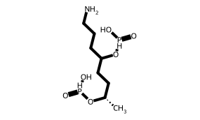 C[C@@H](CCC(CCCN)O[PH](=O)O)O[PH](=O)O